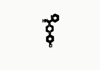 N=C(c1ccccn1)N1CCN(c2ccc(Cl)cc2)CC1